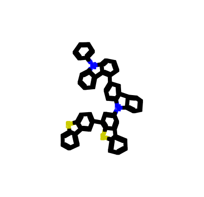 c1ccc(-n2c3ccccc3c3c(-c4ccc5c(c4)c4ccccc4n5-c4cc(-c5ccc6sc7ccccc7c6c5)c5sc6ccccc6c5c4)cccc32)cc1